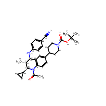 CC(=O)N1c2ccc(C3CCN(C(=O)OC(C)(C)C)CC3)cc2[C@H](Nc2ccc(C#N)cc2)[C@@H](C)[C@@H]1C1CC1